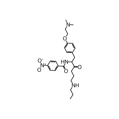 CCCNCCCC(=O)C(Cc1ccc(OCCN(C)C)cc1)NC(=O)c1ccc([N+](=O)[O-])cc1